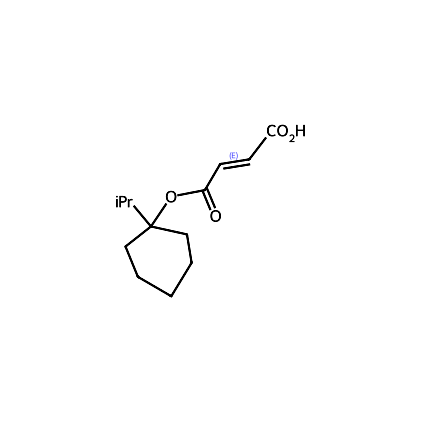 CC(C)C1(OC(=O)/C=C/C(=O)O)CCCCC1